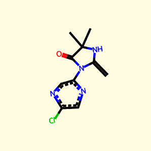 C=C1NC(C)(C)C(=O)N1c1cnc(Cl)cn1